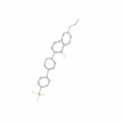 CCCc1ccc2c(F)c(-c3ccc(-c4ccc(C(F)(F)F)cc4)cc3)ccc2c1